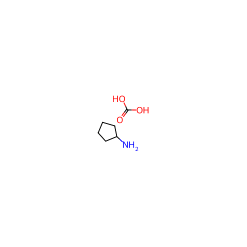 NC1CCCC1.O=C(O)O